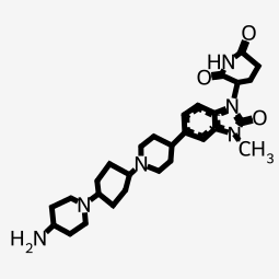 Cn1c(=O)n(C2CCC(=O)NC2=O)c2ccc(C3CCN(C4CCC(N5CCC(N)CC5)CC4)CC3)cc21